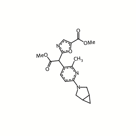 COC(=O)c1cnc(C(C(=O)OC)c2ccc(N3CC4CC4C3)nc2C)o1